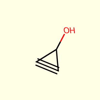 OC1C#C1